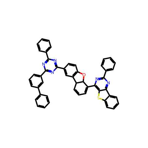 C1=CC2c3cc(-c4nc(-c5ccccc5)nc(-c5cccc(-c6ccccc6)c5)n4)ccc3OC2C(c2nc(-c3ccccc3)nc3c2sc2ccccc23)=C1